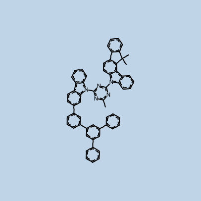 Cc1nc(-n2c3ccccc3c3ccc(-c4cccc(-c5cc(-c6ccccc6)cc(-c6ccccc6)c5)c4)cc32)nc(-n2c3ccccc3c3c4c(ccc32)-c2ccccc2C4(C)C)n1